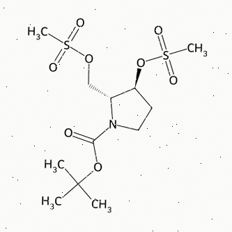 CC(C)(C)OC(=O)N1CC[C@H](OS(C)(=O)=O)[C@H]1COS(C)(=O)=O